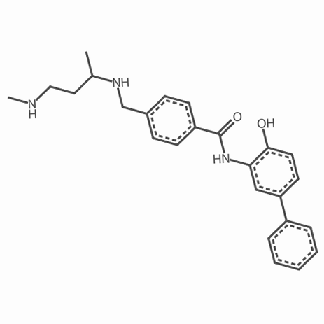 CNCCC(C)NCc1ccc(C(=O)Nc2cc(-c3ccccc3)ccc2O)cc1